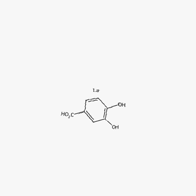 O=C(O)c1ccc(O)c(O)c1.[La]